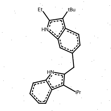 CCc1[nH]c2cc(Cc3[nH]c4ccccc4c3C(C)C)ccc2c1C(C)(C)C